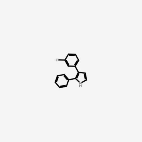 Clc1cccc(-c2cc[nH]c2-c2ccccc2)c1